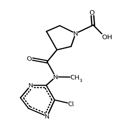 CN(C(=O)C1CCN(C(=O)O)C1)c1nccnc1Cl